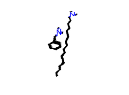 CCCCCCCCCCCCCCCCN(C)C.CN(C)Cc1ccccc1